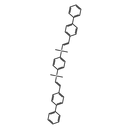 C[Si](C)(C=Cc1ccc(-c2ccccc2)cc1)c1ccc([Si](C)(C)C=Cc2ccc(-c3ccccc3)cc2)cc1